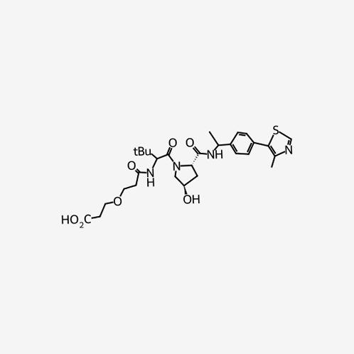 Cc1ncsc1-c1ccc(C(C)NC(=O)[C@@H]2C[C@@H](O)CN2C(=O)C(NC(=O)CCOCCC(=O)O)C(C)(C)C)cc1